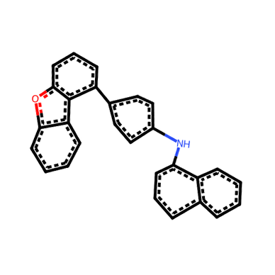 c1ccc2c(Nc3ccc(-c4cccc5oc6ccccc6c45)cc3)cccc2c1